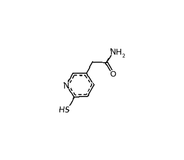 NC(=O)Cc1ccc(S)nc1